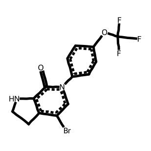 O=c1c2c(c(Br)cn1-c1ccc(OC(F)(F)F)cc1)CCN2